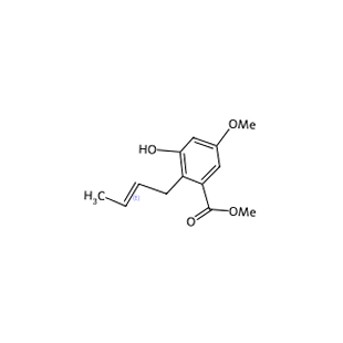 C/C=C/Cc1c(O)cc(OC)cc1C(=O)OC